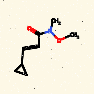 CON(C)C(=O)C=CC1CC1